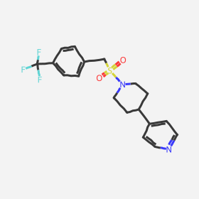 O=S(=O)(Cc1ccc(C(F)(F)F)cc1)N1CCC(c2ccncc2)CC1